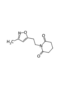 Cc1cc(CCN2C(=O)CCCC2=O)on1